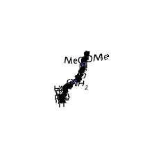 COc1cc(N2CCCC2)c(OC)cc1/N=N/c1nc2ccc(C(=O)N3CCc4c(/C=C(\N)C(=O)N5CCc6c5ccc5[nH]c(C(=O)Oc7c(F)c(F)c(F)c(F)c7F)cc65)cccc43)cc2s1